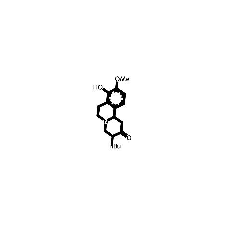 CCCCC1CN2CCc3c(ccc(OC)c3O)C2CC1=O